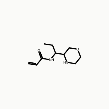 C=CC(=O)NC(CC)C1COCCN1